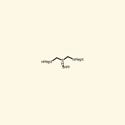 CCCCCCCC[SH]([SnH])CCCCCCCC